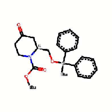 CC(C)(C)OC(=O)N1CCC(=O)C[C@H]1CO[Si](c1ccccc1)(c1ccccc1)C(C)(C)C